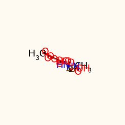 CNC(CSC1CCC1SCC(NC(=O)CCC(=O)OCCOCCOC(=O)CCC(C)=O)C(=O)O)C(=O)O